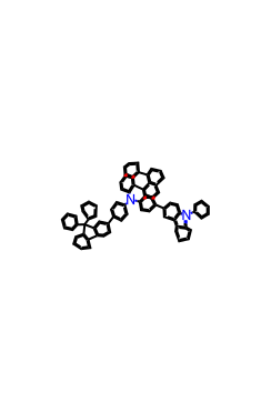 c1ccc(-c2cccc3cccc(-c4ccccc4N(c4ccc(-c5ccc6c(c5)C(c5ccccc5)(c5ccccc5)c5ccccc5-6)cc4)c4ccc(-c5ccc6c(c5)c5ccccc5n6-c5ccccc5)cc4)c23)cc1